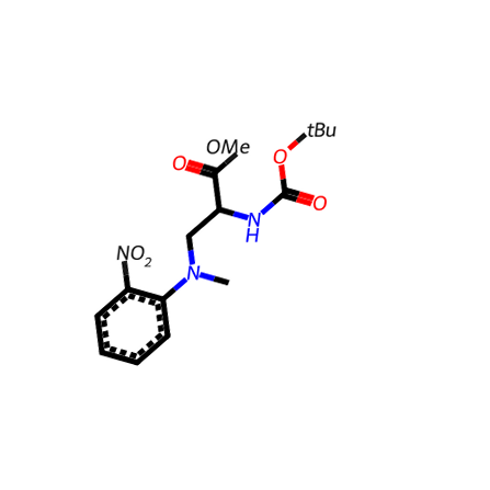 COC(=O)C(CN(C)c1ccccc1[N+](=O)[O-])NC(=O)OC(C)(C)C